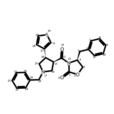 O=C1OC[C@H](Cc2ccccc2)N1C(=O)[C@H]1CN(Cc2ccccc2)C[C@@H]1c1ccsc1